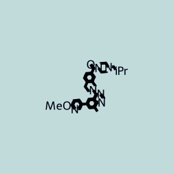 COc1ccc(-c2cc(C)c3ncnc(N4CCc5ccc(C(=O)N6CCN(CC(C)C)CC6)cc5C4)c3c2)cn1